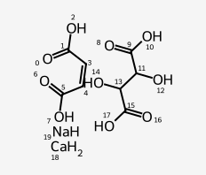 O=C(O)/C=C\C(=O)O.O=C(O)C(O)C(O)C(=O)O.[CaH2].[NaH]